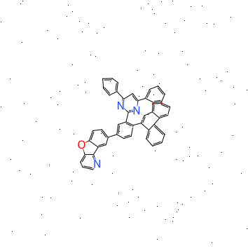 c1ccc(-c2cc(-c3ccccc3)nc(-c3cc(-c4ccc5oc6cccnc6c5c4)ccc3-c3cc4ccccc4c4ccccc34)n2)cc1